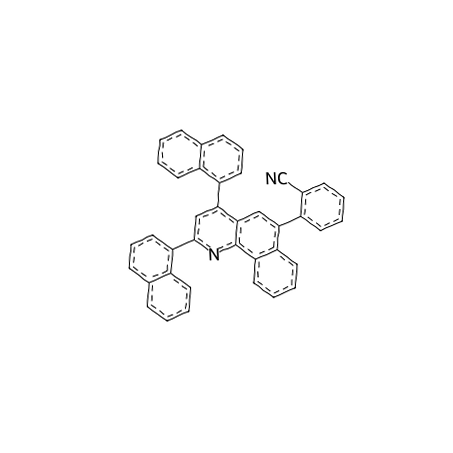 N#Cc1ccccc1-c1cc2c(-c3cccc4ccccc34)cc(-c3cccc4ccccc34)nc2c2ccccc12